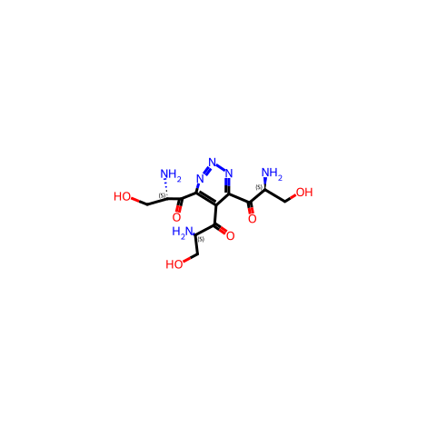 N[C@@H](CO)C(=O)c1nnnc(C(=O)[C@@H](N)CO)c1C(=O)[C@@H](N)CO